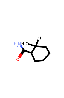 CC1(C)CCCCC1C(N)=O